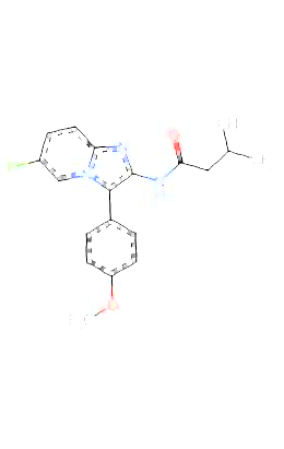 CC(CC(=O)Nc1nc2ccc(F)cn2c1-c1ccc(OC(F)(F)F)cc1)C(F)(F)F